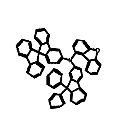 c1ccc(C2(c3ccccc3)c3ccccc3-c3ccc(N(c4ccc5c(c4)-c4ccccc4C54c5ccccc5-c5ccccc54)c4cccc5oc6ccccc6c45)cc32)cc1